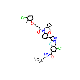 Cc1c(Cl)cccc1OCCCC(=O)N1CC2(CCC2)COc2c(-c3cnn(Cc4c(F)cc(C(=O)NCCC(=O)O)cc4Cl)c3)cccc21